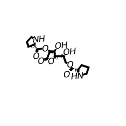 O=C1O[C@H]([C@@H](O)COC(=O)[C@@H]2CCCN2)C(O)=C1OC(=O)[C@@H]1CCCN1